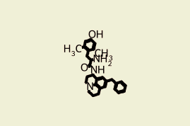 Cc1cc(O)cc(C)c1CC(N)C(=O)NC1CCN2CCCc3cc(Cc4ccccc4)cc1c32